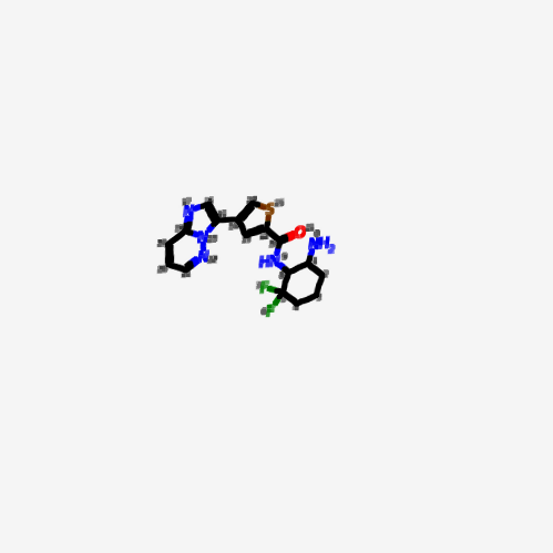 NC1CCCC(F)(F)C1NC(=O)c1cc(-c2cnc3cccnn23)cs1